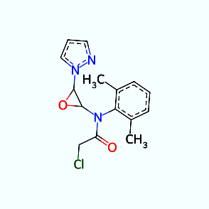 Cc1cccc(C)c1N(C(=O)CCl)C1OC1n1cccn1